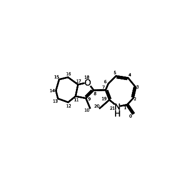 C=C1/C=C\C=C/C/C(C2=C(C)C3CCCCCC3O2)=C(/C)N1